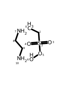 CCS(=O)(=O)OO.NCCN